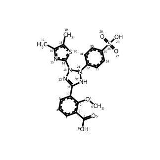 COc1c(C(=O)O)cccc1C1=NN(c2nc(C)c(C)s2)N(c2ccc(S(=O)(=O)O)cc2)N1